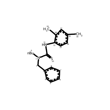 CCCCN(Cc1ccccc1)C(=S)Nc1ccc(C)cc1C